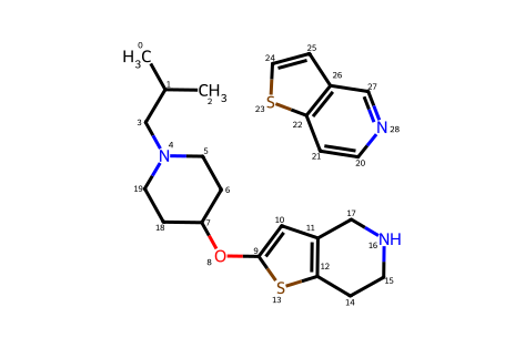 CC(C)CN1CCC(Oc2cc3c(s2)CCNC3)CC1.c1cc2sccc2cn1